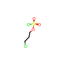 O=S(=O)(Cl)OCCCCl